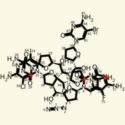 [N-]=[N+]=N[C@H]1C[C@H](n2ccc(N)nc2=O)O[C@@H]1C(O)[C@H]1C[C@H](n2cc(I)c(N)nc2=O)O[C@@]1([C](OC(O)[C@@H]1CC[C@H](n2cc(Br)c(N)nc2=O)O1)C(O)[C@@H]1CC[C@H](n2cc(Cl)c(N)nc2=O)O1)C(O)[C@@H]1CC[C@H](n2cc(F)c(N)nc2=O)O1